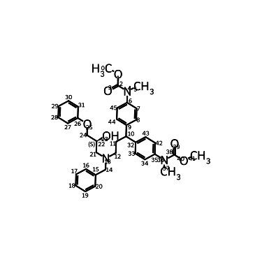 COC(=O)N(C)c1ccc(C(CCN(Cc2ccccc2)C[C@H](O)COc2ccccc2)c2ccc(N(C)C(=O)OC)cc2)cc1